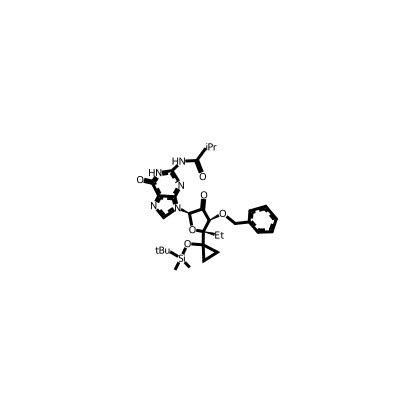 CC[C@@]1(C2(O[Si](C)(C)C(C)(C)C)CC2)O[C@@H](n2cnc3c(=O)[nH]c(NC(=O)C(C)C)nc32)C(=O)[C@H]1OCc1ccccc1